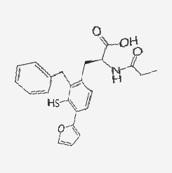 CCC(=O)N[C@@H](Cc1ccc(-c2ccco2)c(S)c1Cc1ccccc1)C(=O)O